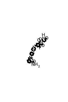 NC(=O)c1cccc2cn(-c3ccc(N4CCN(Cc5cc(F)c6c(c5)C(=O)N(C5CCC(=O)NC5=O)C6=O)CC4)cc3)nc12